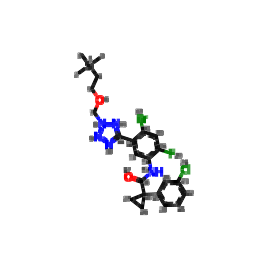 C[Si](C)(C)CCOCn1nnc(-c2cc(NC(=O)C3(c4cccc(Cl)c4)CC3)c(F)cc2Br)n1